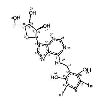 OC[C@H]1OC(n2cnc3c(NCc4c(O)c(I)cc(I)c4O)ncnc32)[C@H](O)[C@@H]1O